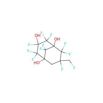 OC1(F)C(F)(F)C2(O)CC(F)(CF)C(F)(F)C(O)(C1(F)F)C2(F)F